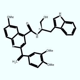 C=C(c1ccc(OC)c(OC)c1)c1cc(C(=O)N[C@@H](CO)Cc2c[nH]c3ccccc23)c2cc(OC)ccc2n1